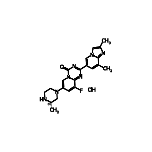 Cc1cn2cc(-c3nc(=O)n4cc(N5CCN[C@@H](C)C5)cc(F)c4n3)cc(C)c2n1.Cl